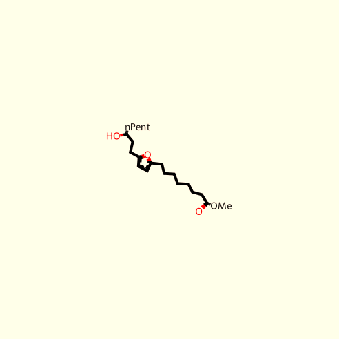 CCCCCC(O)CCc1ccc(CCCCCCCC(=O)OC)o1